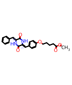 COC(=O)CCCCOc1ccc(/C=c2\[nH]c(=O)/c(=C/c3ccccc3)[nH]c2=O)cc1